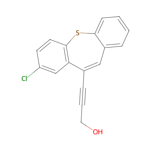 OCC#CC1=Cc2ccccc2Sc2ccc(Cl)cc21